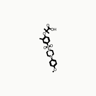 COc1ccc(N2CCN(S(=O)(=O)c3ccc(OC(C)(C)C(=O)O)c(C)c3)CC2)cc1